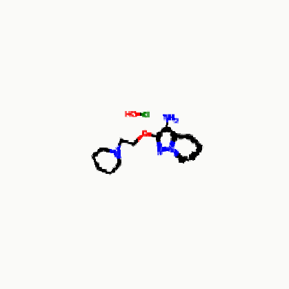 Nc1c(OCCN2CCCCC2)nn2ccccc12.OCl